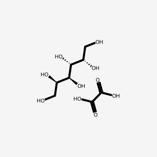 O=C(O)C(=O)O.OC[C@@H](O)[C@H](O)[C@H](O)[C@@H](O)CO